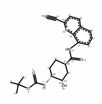 CC(C)(C)OC(=O)N[C@@H]1CC[C@@H](C(=O)Nc2cccc3ccc(C#N)nc23)C[C@@H]1O